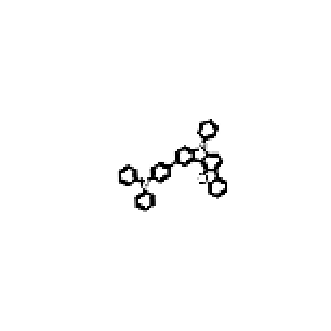 c1ccc(N(c2ccccc2)c2ccc(-c3ccc4c(c3)c3c5oc6ccccc6c5ccc3n4-c3ccccc3)cc2)cc1